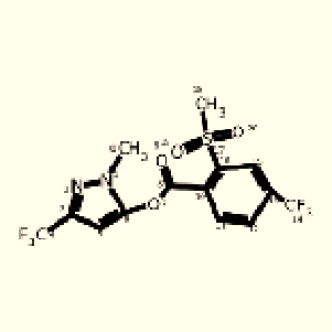 Cn1nc(C(F)(F)F)cc1OC(=O)c1ccc(C(F)(F)F)cc1S(C)(=O)=O